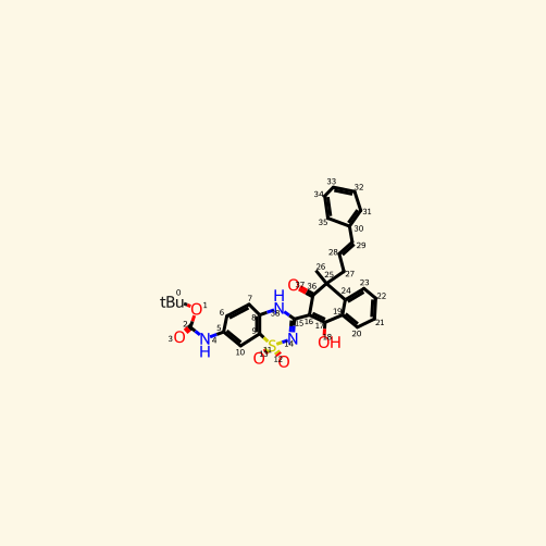 CC(C)(C)OC(=O)Nc1ccc2c(c1)S(=O)(=O)N=C(C1=C(O)c3ccccc3C(C)(CC=Cc3ccccc3)C1=O)N2